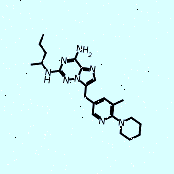 CCCC(C)Nc1nc(N)c2ncc(Cc3cnc(N4CCCCC4)c(C)c3)n2n1